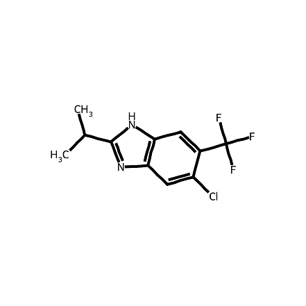 CC(C)c1nc2cc(Cl)c(C(F)(F)F)cc2[nH]1